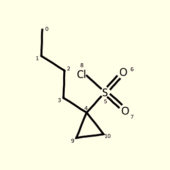 CCCCC1(S(=O)(=O)Cl)CC1